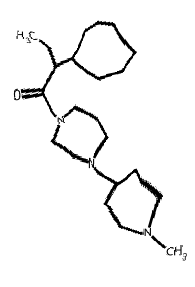 CC(C(=O)N1CCN(C2CCN(C)CC2)CC1)C1CCCCC1